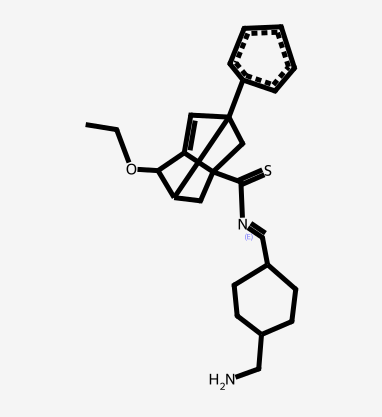 CCOC1C2=CC3(c4ccccc4)CC2(C(=S)/N=C/C2CCC(CN)CC2)CC13